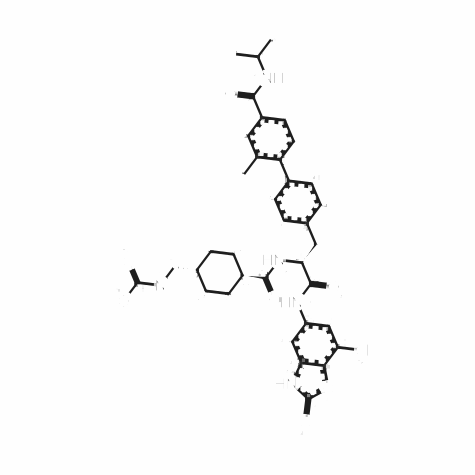 Cc1cc(C(=O)NC(C)C)ccc1-c1ccc(C[C@H](NC(=O)[C@H]2CC[C@H](CNC(=O)O)CC2)C(=O)Nc2cc(Cl)c3oc(=O)[nH]c3c2)cc1